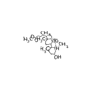 CC[C@H]1[C@@H](O)C2C3CCC([C@H](C)CCC(=O)OC)[C@@]3(C)CCC2[C@@]2(C)CC[C@@H](O)C[C@@H]12